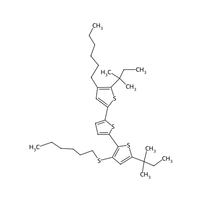 CCCCCCSc1cc(C(C)(C)CC)sc1-c1ccc(-c2cc(CCCCCC)c(C(C)(C)CC)s2)s1